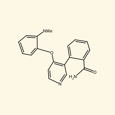 CNc1ccccc1Oc1ccncc1-c1ccccc1C(N)=O